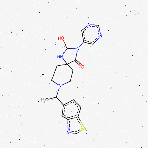 CC(c1ccc2scnc2c1)N1CCC2(CC1)NC(O)N(c1cncnc1)C2=O